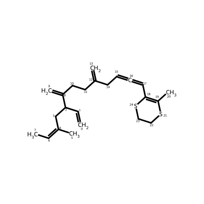 C=CC(C/C(C)=C\C)C(=C)CCC(=C)CC=C=CC1=C(C)SCCS1